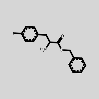 NC(Cc1ccc(I)cc1)C(=O)OCc1ccccc1